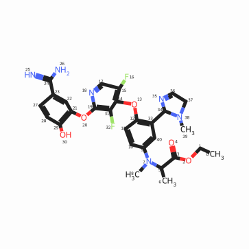 CCOC(=O)C(C)N(C)c1ccc(Oc2c(F)cnc(Oc3cc(C(=N)N)ccc3O)c2F)c(C2N=CCN2C)c1